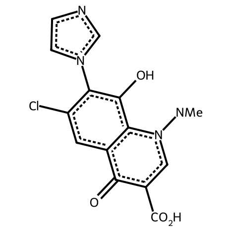 CNn1cc(C(=O)O)c(=O)c2cc(Cl)c(-n3ccnc3)c(O)c21